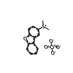 C[S+](C)c1ccc2oc3ccccc3c2c1.[O-][Cl+3]([O-])([O-])[O-]